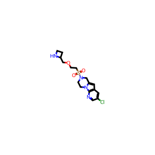 O=S(=O)(CCOCC1CCN1)N1CCn2c(cc3cc(Cl)cnc32)C1